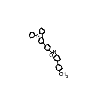 Cc1ccc(-c2ccc3nc(-c4ccc(-c5ccc6c(c5)c5ccccc5n6-c5ccccc5)cc4)oc3c2)cc1